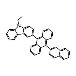 CCn1c2ccccc2c2cc(-c3c4ccccc4c(-c4ccc5ccccc5c4)c4ccccc34)ccc21